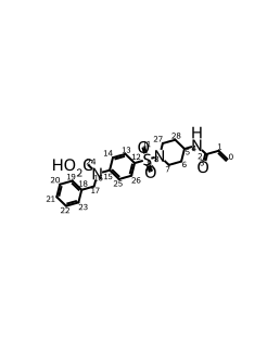 C=CC(=O)NC1CCN(S(=O)(=O)c2ccc(N(Cc3ccccc3)C(=O)O)cc2)CC1